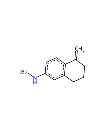 C=C1CCCc2cc(NC(C)(C)C)ccc21